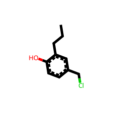 CCCc1cc(CCl)ccc1O